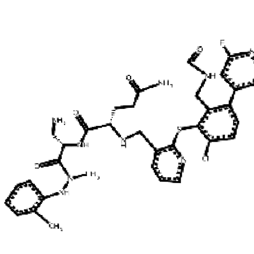 Cc1ccccc1NN(C)C(=O)[C@H](CN)NC(=O)[C@H](CCC(N)=O)NCc1cccnc1Sc1c(Cl)ccc(-c2ccnc(F)c2)c1CNC=O